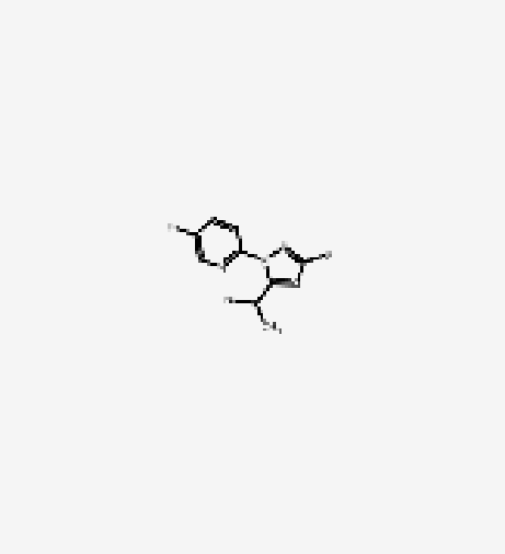 CC(Br)c1nc(Br)nn1-c1ccc(F)cn1